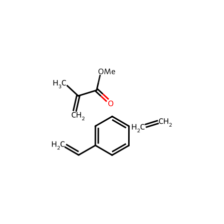 C=C.C=C(C)C(=O)OC.C=Cc1ccccc1